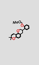 COCOc1ccccc1C1COc2c(ccc3c2C=CC(C)(C)O3)C1